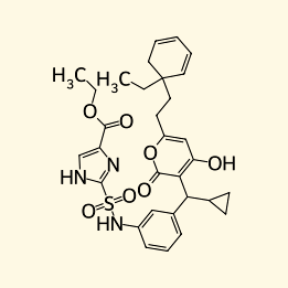 CCOC(=O)c1c[nH]c(S(=O)(=O)Nc2cccc(C(c3c(O)cc(CCC4(CC)C=CC=CC4)oc3=O)C3CC3)c2)n1